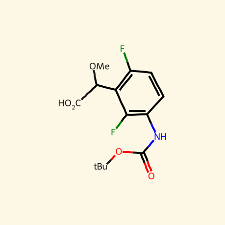 COC(C(=O)O)c1c(F)ccc(NC(=O)OC(C)(C)C)c1F